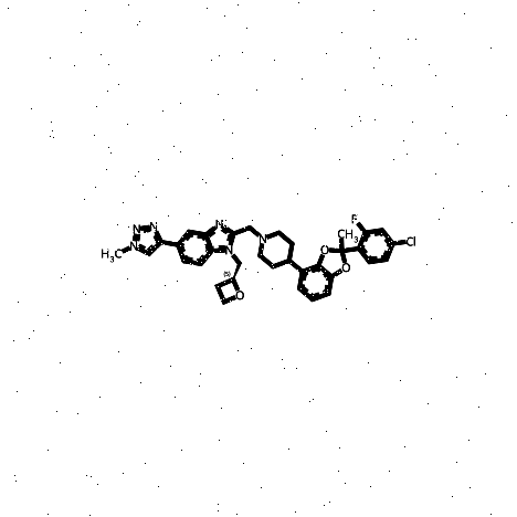 Cn1cc(-c2ccc3c(c2)nc(CN2CCC(c4cccc5c4OC(C)(c4ccc(Cl)cc4F)O5)CC2)n3C[C@@H]2CCO2)nn1